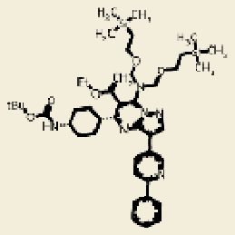 C=C(OCC)c1c(N(COCC[Si](C)(C)C)COCC[Si](C)(C)C)n2ncc(-c3ccc(-c4ccccc4)nc3)c2nc1[C@H]1CC[C@@H](NC(=O)OC(C)(C)C)CC1